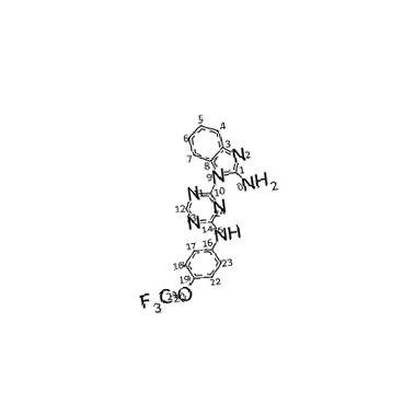 Nc1nc2ccccc2n1-c1ncnc(Nc2ccc(OC(F)(F)F)cc2)n1